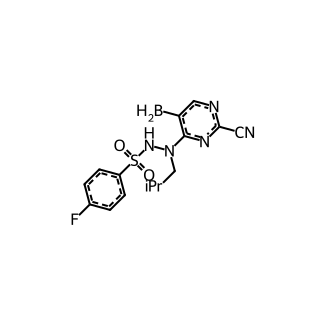 Bc1cnc(C#N)nc1N(CC(C)C)NS(=O)(=O)c1ccc(F)cc1